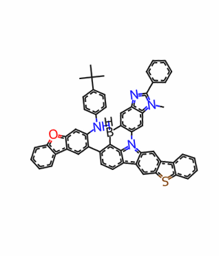 Cn1c(-c2ccccc2)nc2cc3c(cc21)-n1c2cc4c(cc2c2ccc(-c5cc6c(cc5Nc5ccc(C(C)(C)C)cc5)oc5ccccc56)c(c21)B3)sc1ccccc14